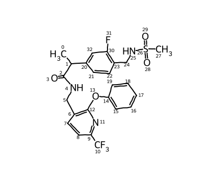 CC(C(=O)NCc1ccc(C(F)(F)F)nc1Oc1ccccc1)c1ccc(CNS(C)(=O)=O)c(F)c1